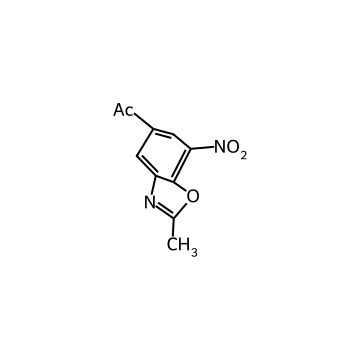 CC(=O)c1cc([N+](=O)[O-])c2oc(C)nc2c1